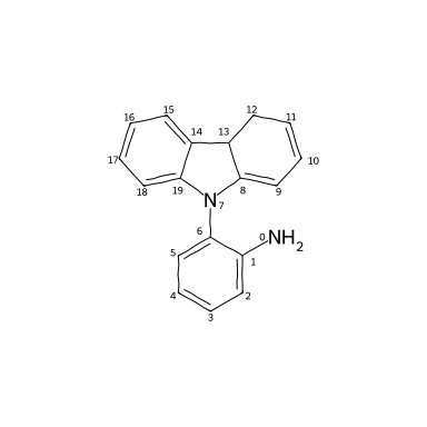 Nc1ccccc1N1C2=CC=CCC2c2ccccc21